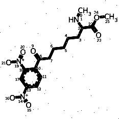 CNC(CCCCCC(=O)c1ccc([N+](=O)[O-])cc1[N+](=O)[O-])C(=O)OC